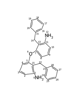 Nc1cccc(Oc2cccc(N)c2Cc2ccccc2)c1Cc1ccccc1